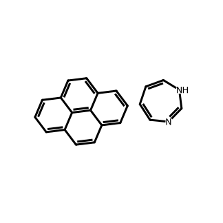 C1=CN=CNC=C1.c1cc2ccc3cccc4ccc(c1)c2c34